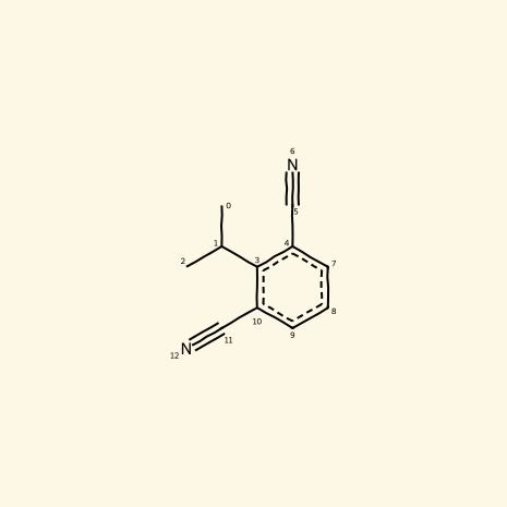 CC(C)c1c(C#N)cccc1C#N